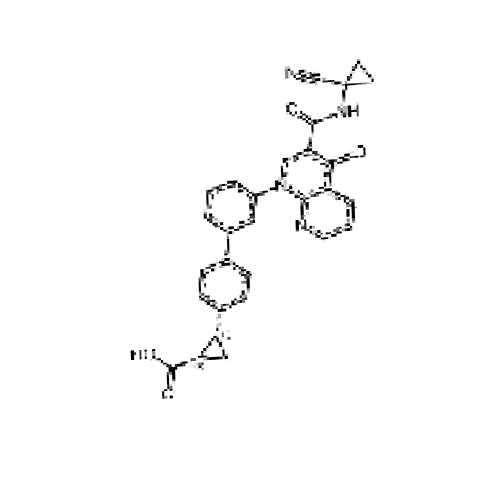 N#CC1(NC(=O)c2cn(-c3cccc(-c4ccc([C@@H]5C[C@H]5C(=O)O)cc4)c3)c3ncccc3c2=O)CC1